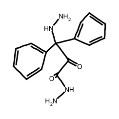 NNC(=O)C(=O)C(NN)(c1ccccc1)c1ccccc1